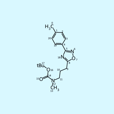 Cc1ccc(-c2noc(CCCN(C)C(=O)OC(C)(C)C)n2)cc1